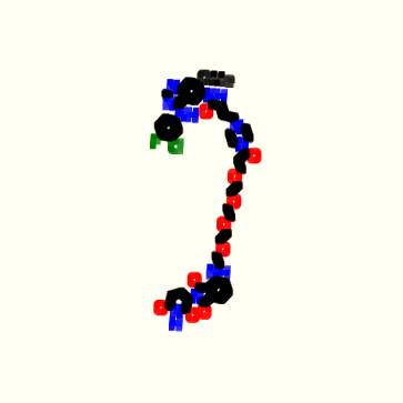 COc1cc2ncnc(Nc3ccc(F)c(Cl)c3)c2cc1NC(=O)/C=C/CN1CCN(C(=O)CCOCCOCCOCCOCCNc2cccc3c2C(=O)N(C2CCC(=O)NC2=O)C3=O)CC1